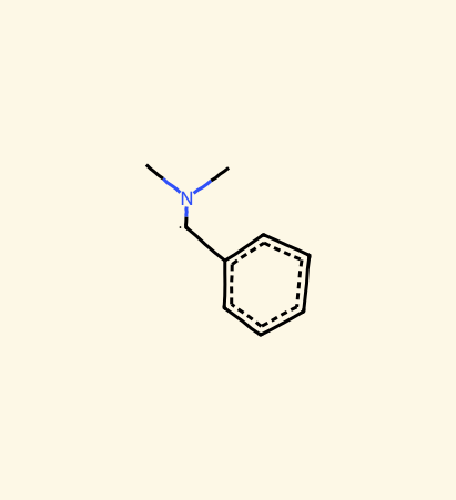 CN(C)[CH]c1ccccc1